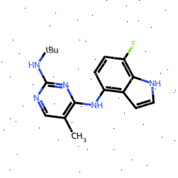 Cc1cnc(NC(C)(C)C)nc1Nc1ccc(F)c2[nH]ccc12